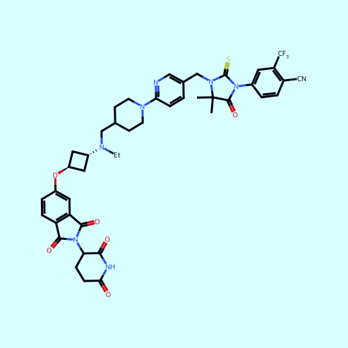 CCN(CC1CCN(c2ccc(CN3C(=S)N(c4ccc(C#N)c(C(F)(F)F)c4)C(=O)C3(C)C)cn2)CC1)[C@H]1C[C@H](Oc2ccc3c(c2)C(=O)N(C2CCC(=O)NC2=O)C3=O)C1